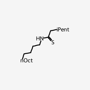 CCCCCCCCCCCCNC(=S)CC(C)CCC